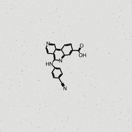 N#Cc1ccc(Nc2nc3cc(C(=O)O)ccc3c3cnccc23)cc1